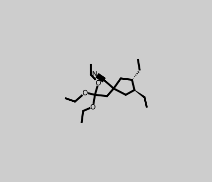 CCOC(CC1(C#N)C[C@H](CC)[C@@H](CC)C1)(OCC)OCC